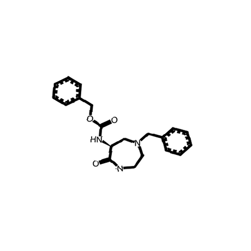 O=C(N[C@H]1CN(Cc2ccccc2)CC[N]C1=O)OCc1ccccc1